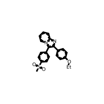 CCOc1ccc(-c2nc3ccccn3c2-c2ccc(S(C)(=O)=O)cc2)cc1